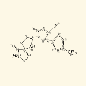 O=C1NCC[C@]12CC[C@H](c1cc(-c3ccc(C(F)(F)F)cc3)c(F)cn1)N2